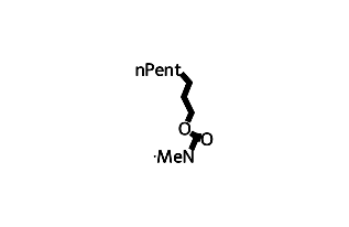 CCCCCCCCOC(=O)[N]C